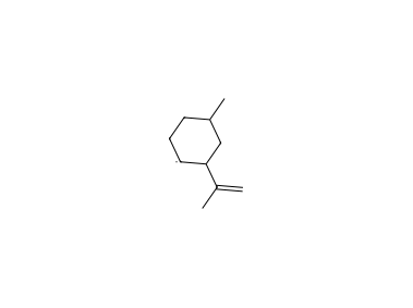 C=C(C)C1[CH]CCC(C)C1